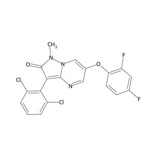 Cn1c(=O)c(-c2c(Cl)cccc2Cl)c2ncc(Oc3ccc(F)cc3F)cn21